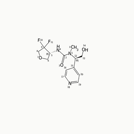 CN(C(=O)N[C@@H]1COCC1(F)F)[C@@H](CO)c1ccncc1